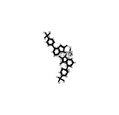 CC1=Cc2c(-c3ccc(C(C)(C)C)cc3)cccc2[CH]1[Zr]([CH]1C(C)=C(C)c2c(-c3ccc(C(C)(C)C)cc3)cccc21)[SiH](C)C